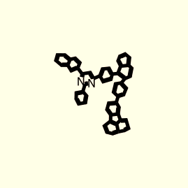 c1ccc(-c2nc(-c3ccc(-c4c(-c5ccc(-c6ccc7c(c6)-c6cccc8cccc-7c68)cc5)ccc5ccccc45)cc3)cc(-c3ccc4ccccc4c3)n2)cc1